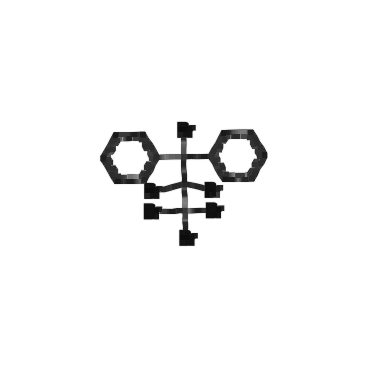 BrC(Br)(Br)C(Br)(Br)C(Br)(c1ccccc1)c1ccccc1